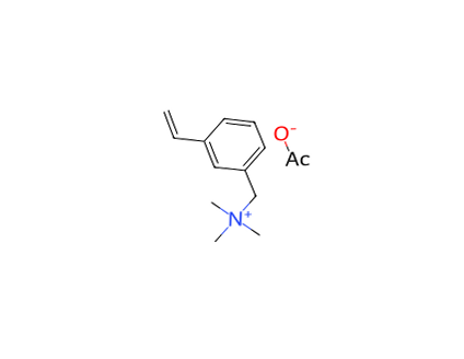 C=Cc1cccc(C[N+](C)(C)C)c1.CC(=O)[O-]